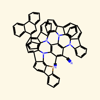 N#Cc1c(C#N)c(-n2c3cc(-c4cc5ccccc5c5ccccc45)ccc3c3ccc4c5ccccc5sc4c32)c(-n2c3ccccc3c3ccccc32)c(-n2c3ccccc3c3ccccc32)c1-n1c2ccccc2c2ccccc21